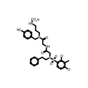 Cc1c(Cl)ccc(S(=O)(=O)N(CCc2ccccc2)CC(=O)NCC(=O)N(CCCNC(=O)O)Cc2ccc(C#N)cc2)c1Cl